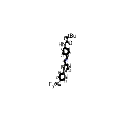 CC(C)(C)OC(=O)Nc1ccc(/C=C/c2ncn(-c3ccc(OC(F)(F)F)cn3)n2)cn1